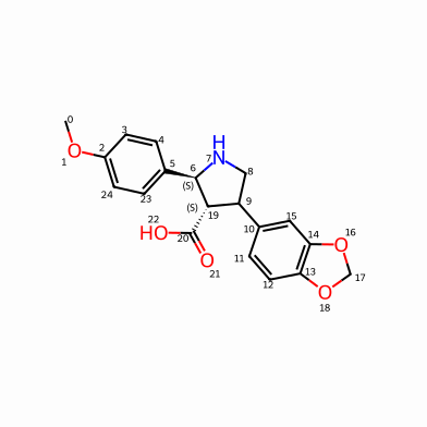 COc1ccc([C@H]2NCC(c3ccc4c(c3)OCO4)[C@@H]2C(=O)O)cc1